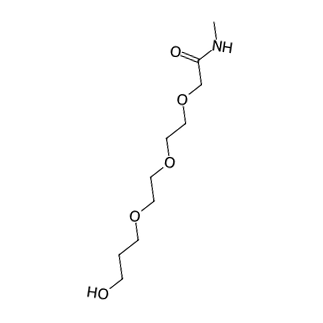 CNC(=O)COCCOCCOCCCO